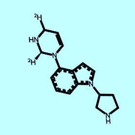 [2H]C1C=CN(c2cccc3c2ccn3C2CCNC2)[C@@H]([2H])N1